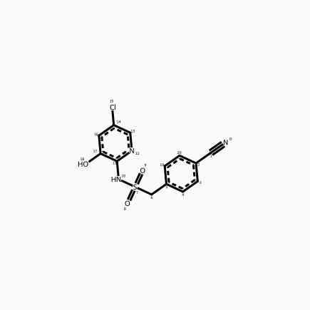 N#Cc1ccc(CS(=O)(=O)Nc2ncc(Cl)cc2O)cc1